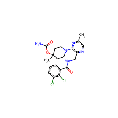 Cc1cnc(CNC(=O)c2cccc(Cl)c2Cl)c(N2CCC(C)(OC(N)=O)CC2)n1